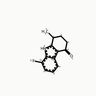 CC1CCC(=O)c2c1[nH]c1c(F)cccc21